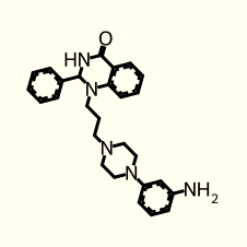 Nc1cccc(N2CCN(CCCN3c4ccccc4C(=O)NC3c3ccccc3)CC2)c1